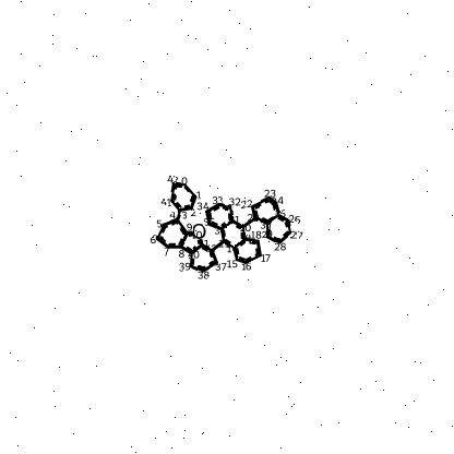 c1ccc(-c2cccc3c2oc2c(-c4c5ccccc5c(-c5cccc6ccccc56)c5ccccc45)cccc23)cc1